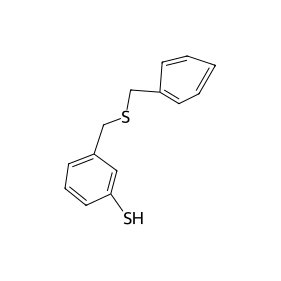 Sc1cccc(CSCc2ccccc2)c1